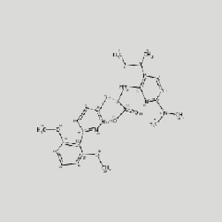 CCC(C)c1cnc(N(C)C)nc1N[C@@H](Cc1ccc(-c2c(OC)cccc2OC)nn1)C(=O)O